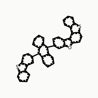 c1ccc2c(c1)sc1ccc(-c3c4ccccc4c(-c4ccc5c(c4)oc4ccc6sc7ccccc7c6c45)c4ccccc34)cc12